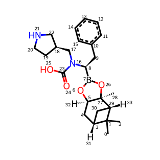 CC1(C)[C@@H]2C[C@H]3OB([C@H](Cc4ccccc4)N(C[C@H]4CCNC4)C(=O)O)O[C@@]3(C)[C@H]1C2